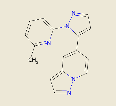 Cc1cccc(-n2nccc2-c2ccn3nccc3c2)n1